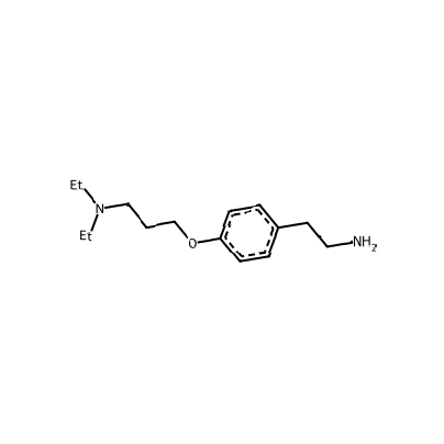 CCN(CC)CCCOc1ccc(CCN)cc1